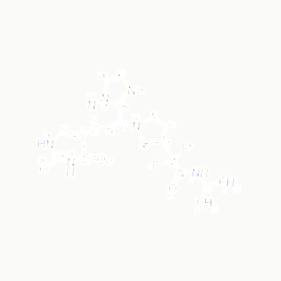 CC(C)NC(=O)C(F)(F)C1CCN(c2cc(-c3c[nH]c(=O)[nH]c3=O)nn3ccnc23)C1